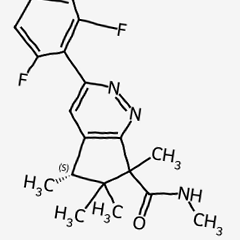 CNC(=O)C1(C)c2nnc(-c3c(F)cccc3F)cc2[C@@H](C)C1(C)C